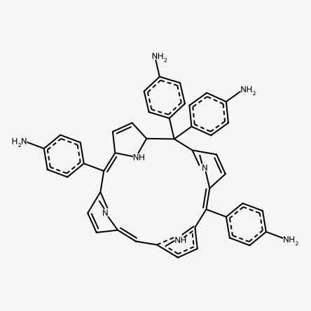 Nc1ccc(C2=C3C=CC(N3)C(c3ccc(N)cc3)(c3ccc(N)cc3)C3=NC(=C(c4ccc(N)cc4)c4ccc([nH]4)C=C4C=CC2=N4)C=C3)cc1